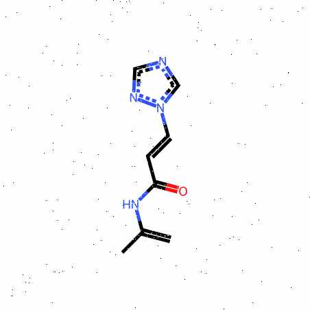 C=C(C)NC(=O)/C=C/n1cncn1